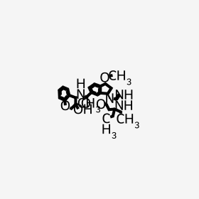 CCC1(CC)CC(=O)N([C@@H]2C[C@@H](OC)c3ccc(C(=O)N[C@@H]4c5ccccc5OC[C@@]4(C)O)cc32)C(=N)N1